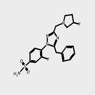 NS(=O)(=O)c1ccc(-n2nc(CN3CCC(F)C3)nc2Cc2ccccc2)c(F)c1